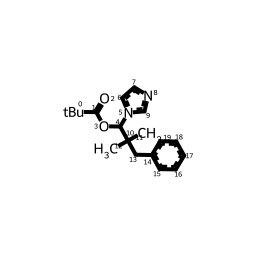 CC(C)(C)C(=O)OC(n1ccnc1)C(C)(C)Cc1ccccc1